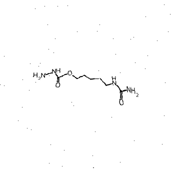 NNC(=O)OCCCCCNC(N)=O